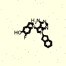 Nc1ncnc2c1c(-n1ccc3cc(O)c(F)cc31)cn2C1Cc2ccccc2C1